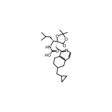 CC(C)C[C@H](NC(=O)O)[C@@]1(Cc2nccc3c2CCC(CC2CC2)C3)OC(C)(C)OC1=O